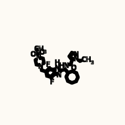 CCn1nccc1C(=O)N[C@@H](c1nc2c(F)cc(CN3CCN(S(C)(=O)=O)CC3)c(F)c2[nH]1)C1CCCCCCC1